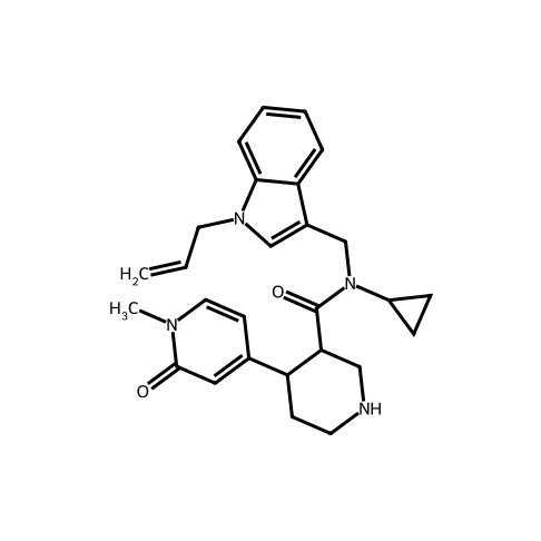 C=CCn1cc(CN(C(=O)C2CNCCC2c2ccn(C)c(=O)c2)C2CC2)c2ccccc21